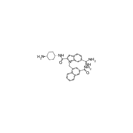 N=C(N)c1ccc2cc(C(=O)N[C@H]3CC[C@H](N)CC3)n(Cc3cc(C(N)=O)cc4ccccc34)c2c1